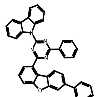 c1ccc(-c2ccc3c(c2)oc2cccc(-c4nc(-c5ccccc5)nc(-n5c6ccccc6c6ccccc65)n4)c23)cc1